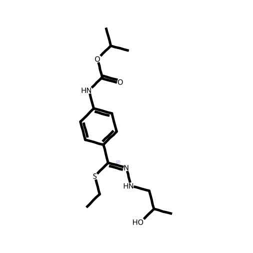 CCS/C(=N\NCC(C)O)c1ccc(NC(=O)OC(C)C)cc1